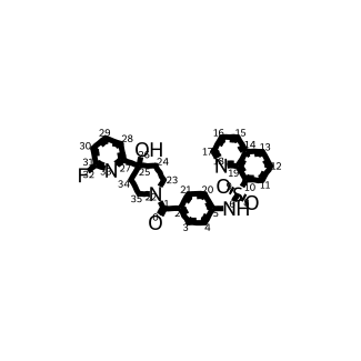 O=C(c1ccc(NS(=O)(=O)c2cccc3cccnc23)cc1)N1CCC(O)(c2cccc(F)n2)CC1